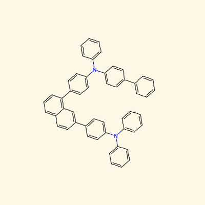 c1ccc(-c2ccc(N(c3ccccc3)c3ccc(-c4cccc5ccc(-c6ccc(N(c7ccccc7)c7ccccc7)cc6)cc45)cc3)cc2)cc1